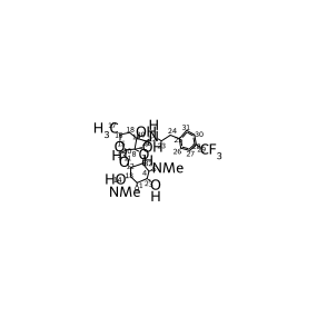 CN[C@@H]1[C@H](O)[C@H](NC)[C@H]2O[C@]3(O)[C@H](OC2[C@H]1O)O[C@H](C)C[C@@]3(O)CNCCc1ccc(C(F)(F)F)cc1